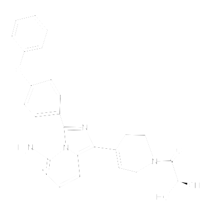 C[C@@H](O)C(=O)N1CC=C(c2nc(-c3ccc(Oc4ccccc4)cc3)n3c(N)nccc23)CC1